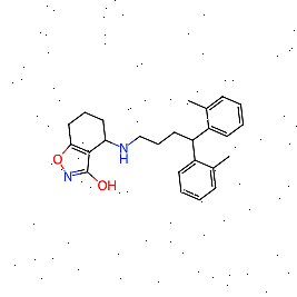 Cc1ccccc1C(CCCNC1CCCc2onc(O)c21)c1ccccc1C